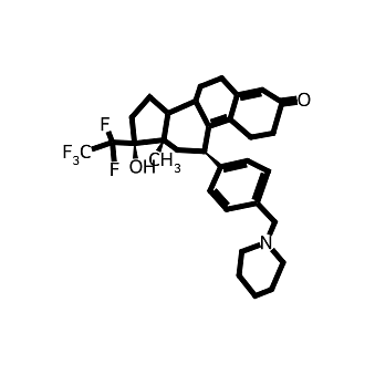 C[C@]12C[C@H](c3ccc(CN4CCCCC4)cc3)C3=C4CCC(=O)C=C4CCC3C1CC[C@@]2(O)C(F)(F)C(F)(F)F